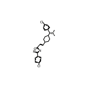 CN(C)C(c1ccc(Cl)cc1)C1CCC(C=Cc2nc(-c3ccc(Cl)cc3)no2)CC1